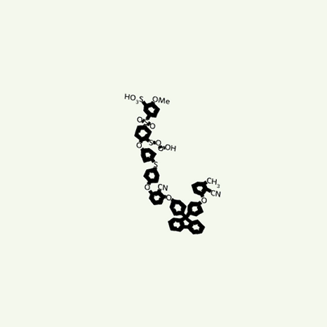 COc1ccc(S(=O)(=O)c2ccc(Oc3ccc(Sc4ccc(Oc5cccc(Oc6ccc(C7(c8ccc(Oc9cccc(C)c9C#N)cc8)c8ccccc8-c8ccccc87)cc6)c5C#N)cc4)cc3)c(SOOO)c2)cc1S(=O)(=O)O